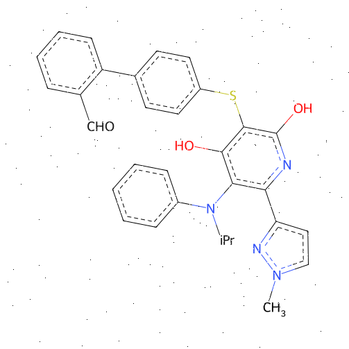 CC(C)N(c1ccccc1)c1c(-c2ccn(C)n2)nc(O)c(Sc2ccc(-c3ccccc3C=O)cc2)c1O